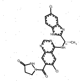 C[C@H](Nc1ncnc2cc(C(=O)N3CCC(=O)N3)c(Cl)cc12)c1nc2cc(Cl)ccc2[nH]1